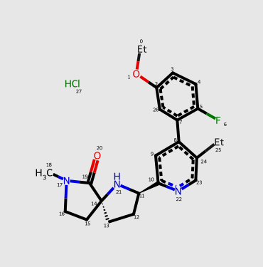 CCOc1ccc(F)c(-c2cc([C@H]3CC[C@@]4(CCN(C)C4=O)N3)ncc2CC)c1.Cl